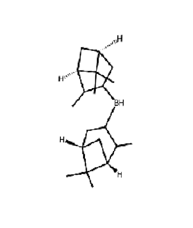 CC1C(BC2C[C@@H]3C[C@H](C2C)C3(C)C)C[C@@H]2C[C@H]1C2(C)C